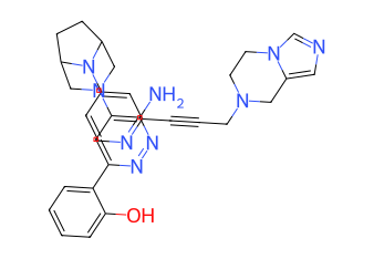 Nc1nnc(-c2ccccc2O)cc1N1CC2CCC(C1)N2c1ccnc(C#CCN2CCn3cncc3C2)c1